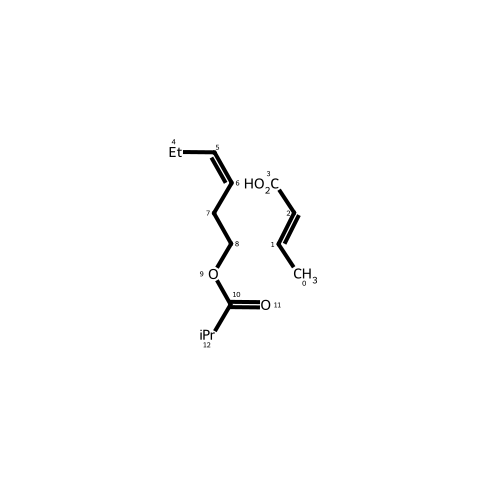 C/C=C/C(=O)O.CC/C=C\CCOC(=O)C(C)C